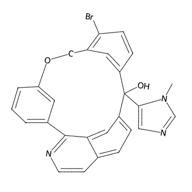 Cn1cncc1C1(O)c2ccc(Br)c(c2)COc2cccc(c2)-c2nccc3ccc1cc23